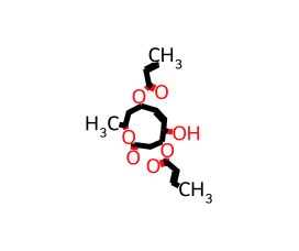 CC=CC(=O)OC1C=CC(O)C(OC(=O)C=CC)CC(=O)OC(C)C1